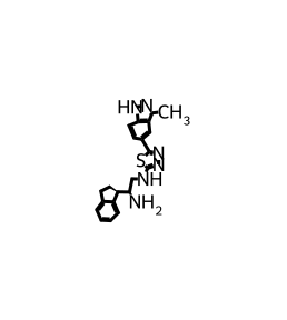 Cc1n[nH]c2ccc(-c3nnc(NC[C@@H](N)[C@@H]4CCc5ccccc54)s3)cc12